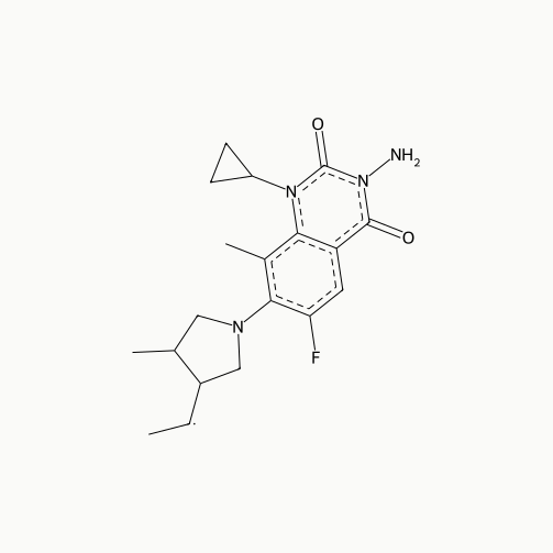 C[CH]C1CN(c2c(F)cc3c(=O)n(N)c(=O)n(C4CC4)c3c2C)CC1C